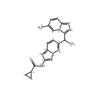 Bc1ccc2nnc(C(C)c3ccc4nc(NC(=O)C5CC5)cn4n3)n2c1